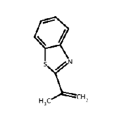 C=C(C)c1nc2ccccc2s1